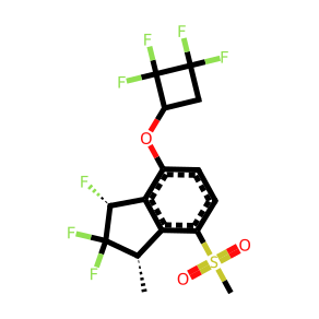 C[C@H]1c2c(S(C)(=O)=O)ccc(OC3CC(F)(F)C3(F)F)c2[C@@H](F)C1(F)F